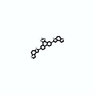 c1cc2c(ccc3sc(-c4ccc5c6ccc(-c7cc8c(ccc9sccc98)s7)cc6c6nsnc6c5c4)cc32)s1